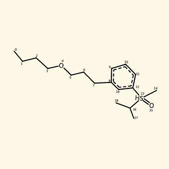 CCCCOCCCc1cccc([SH](C)(=O)C(C)C)c1